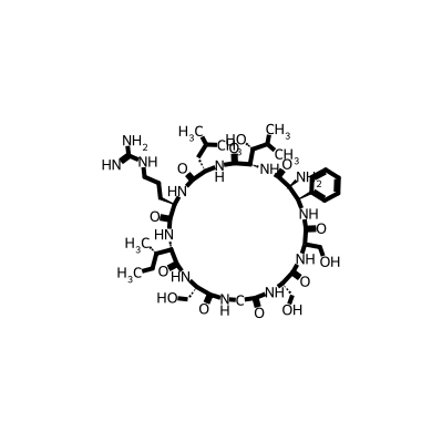 CC[C@H](C)[C@@H]1NC(=O)[C@@H](CCCNC(=N)N)NC(=O)[C@H](CC(C)C)NC(=O)[C@H]([C@H](O)C(C)C)NC(=O)[C@@H](N)[C@@H](c2ccccc2)NC(=O)C(CO)NC(=O)[C@H](CO)NC(=O)CNC(=O)[C@H](CO)NC1=O